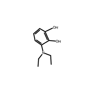 CCN(CC)c1cccc(O)c1O